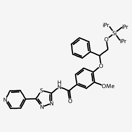 COc1cc(C(=O)Nc2nnc(-c3ccncc3)s2)ccc1OC(CO[Si](C(C)C)(C(C)C)C(C)C)c1ccccc1